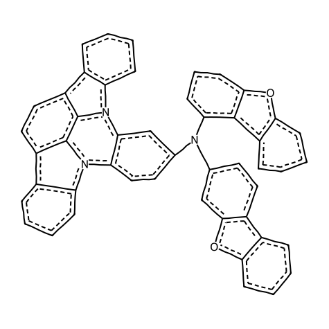 c1ccc2c(c1)oc1cc(N(c3ccc4c(c3)n3c5ccccc5c5ccc6c7ccccc7n4c6c53)c3cccc4oc5ccccc5c34)ccc12